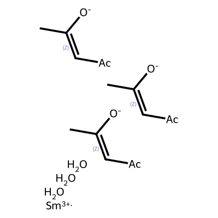 CC(=O)/C=C(/C)[O-].CC(=O)/C=C(/C)[O-].CC(=O)/C=C(/C)[O-].O.O.O.[Sm+3]